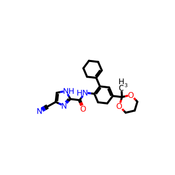 CC1(C2=CC(C3=CCCCC3)=C(NC(=O)c3nc(C#N)c[nH]3)CC2)OCCCO1